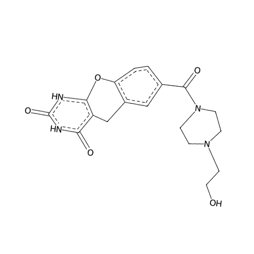 O=C(c1ccc2c(c1)Cc1c([nH]c(=O)[nH]c1=O)O2)N1CCN(CCO)CC1